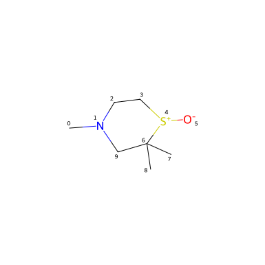 CN1CC[S+]([O-])C(C)(C)C1